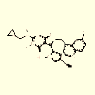 CN(CC1CC1)c1nc2nn(Cc3ccnc4ccc(Cl)cc34)c(-c3cc(C#N)cn3C)c2c(=O)n1C